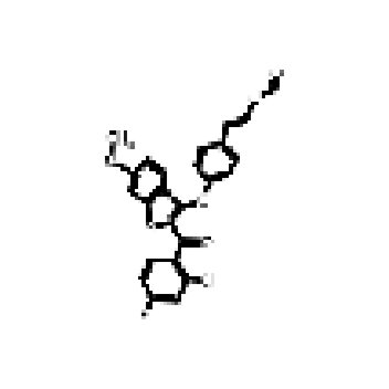 COc1ccc2c(Oc3ccc(/C=C/OC=O)cc3)c(C(=O)c3ccc(F)cc3Cl)sc2c1